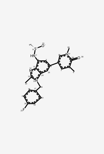 Cc1cc(-c2cc(N[S@+](C)[O-])c3nc(C)n(Cc4ccc(F)cc4)c3c2)cn(C)c1=O